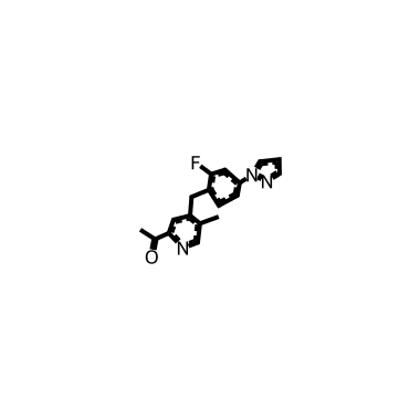 CC(=O)c1cc(Cc2ccc(-n3cccn3)cc2F)c(C)cn1